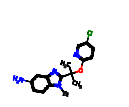 CCn1c(C(C)(C)Oc2ccc(Cl)cn2)nc2cc(N)ccc21